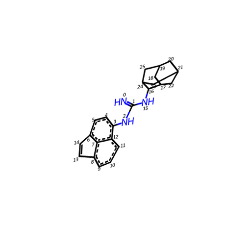 N=C(Nc1ccc2c3c(cccc13)C=C2)NC1C2CC3CC(C2)CC1C3